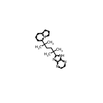 CC(C)(CCC(C)(C)c1cccc2cccn12)c1nc2nccnc2[nH]1